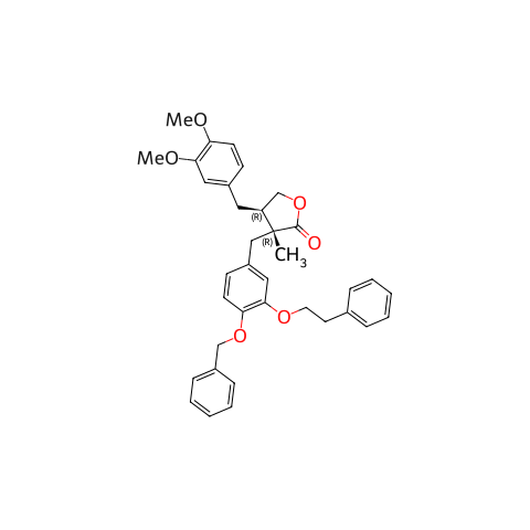 COc1ccc(C[C@H]2COC(=O)[C@]2(C)Cc2ccc(OCc3ccccc3)c(OCCc3ccccc3)c2)cc1OC